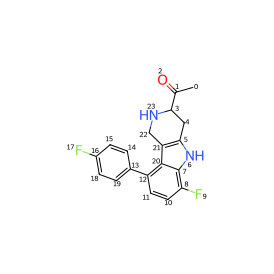 CC(=O)C1Cc2[nH]c3c(F)ccc(-c4ccc(F)cc4)c3c2CN1